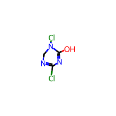 OC1=NC(Cl)=NCN1Cl